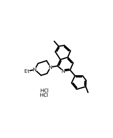 CCN1CCN(c2nc(-c3ccc(C)cc3)cc3ccc(C)cc23)CC1.Cl.Cl